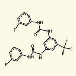 O=C(Nc1cccc(F)c1)Nc1cc(NC(=O)Nc2cccc(F)c2)cc(C(F)(F)F)c1